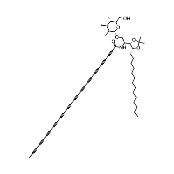 CC#CC#CC#CC#CC#CC#CC#CC#CC#CC#CC#CC#CC(=O)N[C@@H](CO[C@H]1OC(CO)[C@@H](C)[C@H](C)C1C)[C@@H]1OC(C)(C)O[C@@H]1CCCCCCCCCCCCCC